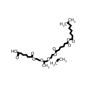 C=CC.CC(C)CCCCCC(=O)OC(=O)CCCCC(=O)OCCOCC(C)OCCOC(=O)CCCCC(=O)O